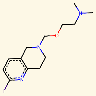 CN(C)CCOCN1CCc2nc(I)ccc2C1